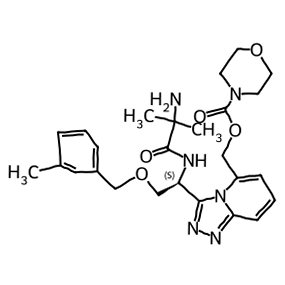 Cc1cccc(COC[C@@H](NC(=O)C(C)(C)N)c2nnc3cccc(COC(=O)N4CCOCC4)n23)c1